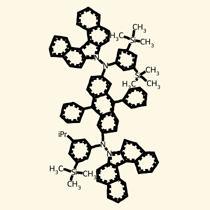 CC(C)c1cc(N(c2ccc3c(-c4ccccc4)c4cc(N(c5cc([Si](C)(C)C)cc([Si](C)(C)C)c5)n5c6ccc7ccccc7c6c6c7ccccc7ccc65)ccc4c(-c4ccccc4)c3c2)n2c3ccc4ccccc4c3c3c4ccccc4ccc32)cc([Si](C)(C)C)c1